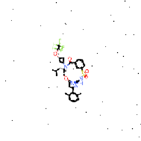 Cc1cccc(C)c1-c1cc2nc(n1)NS(=O)(=O)c1cccc(c1)C(=O)N([C@H]1C[C@@H](OC(F)(F)C(F)(F)F)C1)[C@H](CC(C)C)CO2